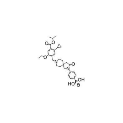 CCOc1cc(C(=O)OC(C)C)c(C2CC2)cc1CN1CCC2(CC1)CC(=O)N(c1ccc(P(=O)(O)O)cc1)C2